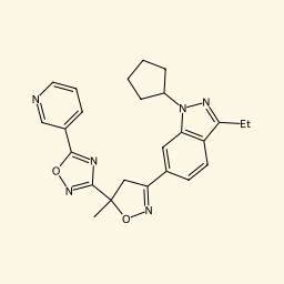 CCc1nn(C2CCCC2)c2cc(C3=NOC(C)(c4noc(-c5cccnc5)n4)C3)ccc12